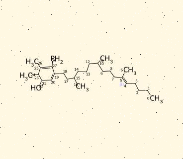 CCCC/C=C(\C)CCCC(C)CCCC(C)CCC1=CC(O)C(C)C(C)=C1P